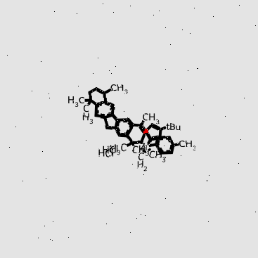 Cl.Cl.[CH2]=[Zr]([CH3])([C]1=CC(C(C)(C)C)=CC1)([c]1ccc(C)cc1)[CH]1C=C(C)c2cc3c(cc2C1(C)C)Cc1cc2c(cc1-3)C(C)=CCC2(C)C